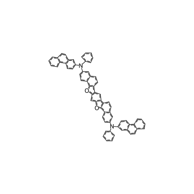 c1ccc(N(c2ccc3c(ccc4ccccc43)c2)c2ccc3c(ccc4c5cc6c(cc5oc34)oc3c4ccc(N(c5ccccc5)c5ccc7c(ccc8ccccc87)c5)cc4ccc63)c2)cc1